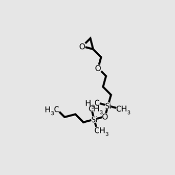 CCCC[Si](C)(C)O[Si](C)(C)CCCOCC1CO1